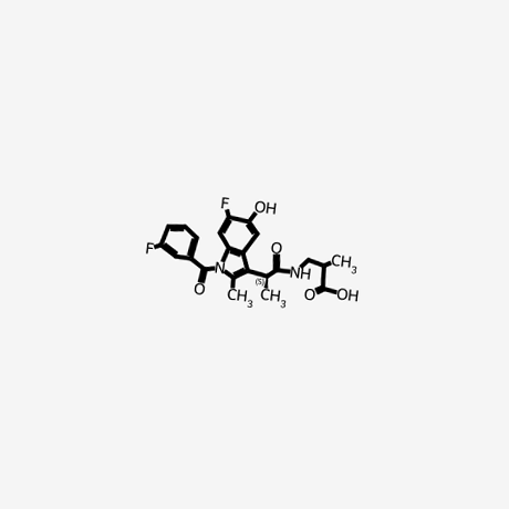 Cc1c([C@H](C)C(=O)NCC(C)C(=O)O)c2cc(O)c(F)cc2n1C(=O)c1cccc(F)c1